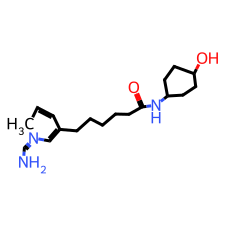 C\C=C/C(=C\N=C/N)CCCCCC(=O)NC1CCC(O)CC1